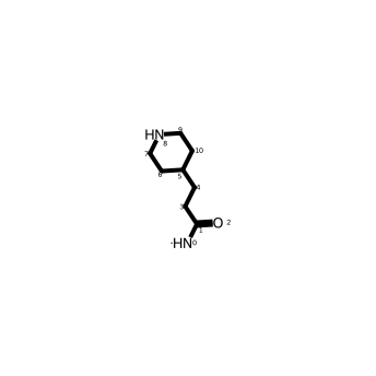 [NH]C(=O)CCC1CCNCC1